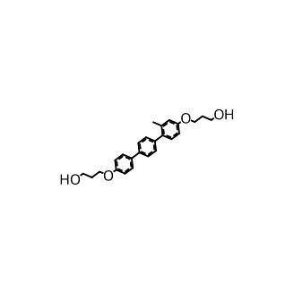 Cc1cc(OCCCO)ccc1-c1ccc(-c2ccc(OCCCO)cc2)cc1